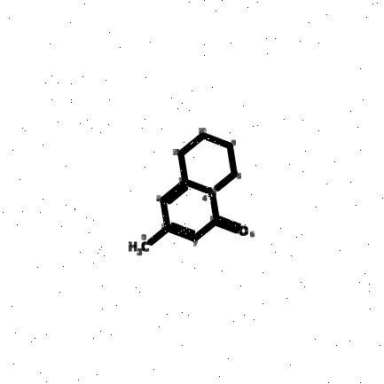 Cc1cc2n(c(=O)c1)CCCC2